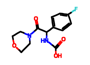 O=C(O)NC(C(=O)N1CCOCC1)c1ccc(F)cc1